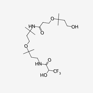 CC(C)(CCOC(C)(C)CCNC(=O)C(O)C(F)(F)F)NC(=O)CCOC(C)(C)CCO